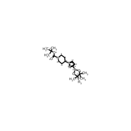 CC(C)(C)OC(=O)N1CCC(n2ccc(B3OC(C)(C)C(C)(C)O3)n2)CC1